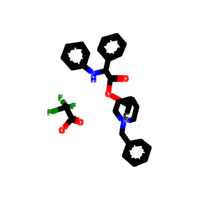 O=C(OC1C[N+]2(Cc3ccccc3)CCC1CC2)C(Nc1ccccc1)c1ccccc1.O=C([O-])C(F)(F)F